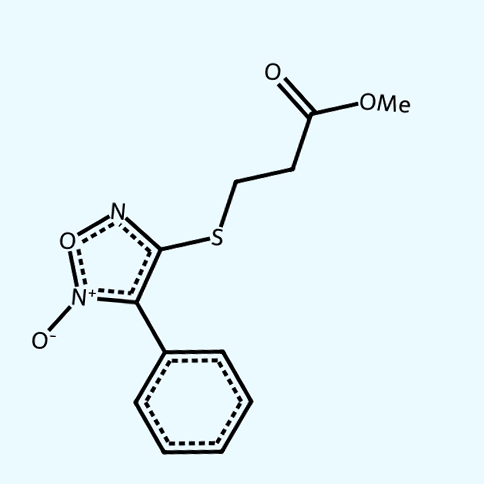 COC(=O)CCSc1no[n+]([O-])c1-c1ccccc1